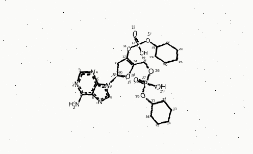 Nc1ncnc2c1ncn2[C@H]1CC(OP(=O)(O)OC2CCCCC2)=C(COP(=O)(O)OC2CCCCC2)O1